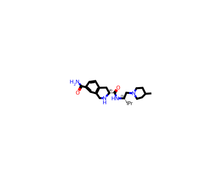 CC1CCN(C[C@@H](NC(=O)[C@H]2Cc3ccc(C(N)=O)cc3CN2)C(C)C)CC1